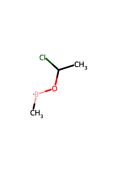 C[B]OC(C)Cl